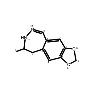 CC1Cc2cc3c(cc2C=NN1)OCO3